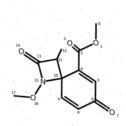 COC(=O)C1=CC(=O)C=CC12C(C)C(=O)N2OC